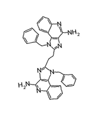 Nc1nc2ccccc2c2c1nc(CCc1nc3c(N)nc4ccccc4c3n1Cc1ccccc1)n2Cc1ccccc1